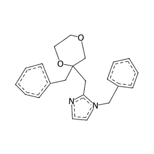 c1ccc(Cn2ccnc2CC2(Cc3ccccc3)COCCO2)cc1